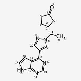 CC([C@@H]1CCC(=O)C1)n1cc(-c2ncnc3[nH]ccc23)cn1